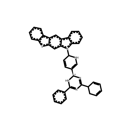 C1=CCC(C2=N[C@H](C3=CNC(n4c5ccccc5c5cc6c(cc54)sc4ccccc46)C=C3)NC(c3ccccc3)=N2)C=C1